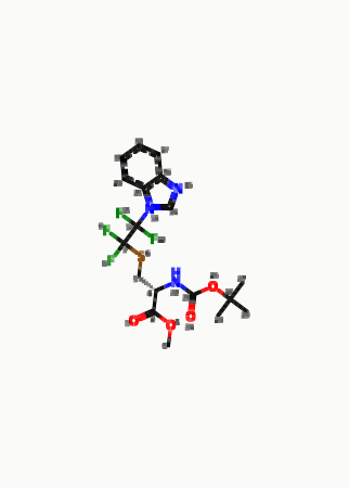 COC(=O)[C@H](CSC(F)(F)C(F)(F)n1cnc2ccccc21)NC(=O)OC(C)(C)C